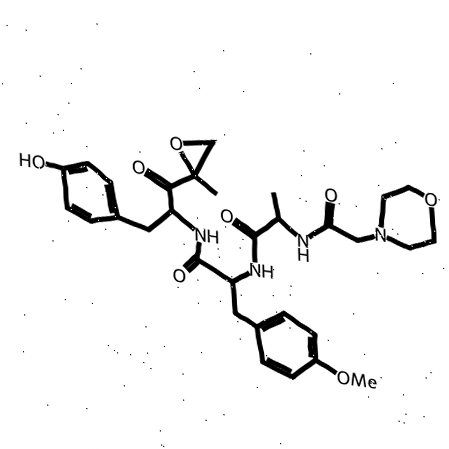 COc1ccc(CC(NC(=O)C(C)NC(=O)CN2CCOCC2)C(=O)NC(Cc2ccc(O)cc2)C(=O)C2(C)CO2)cc1